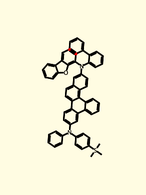 CS(C)(C)c1ccc(N(c2ccccc2)c2ccc3c(c2)c2ccccc2c2c4ccc(N(c5ccccc5-c5ccccc5)c5cccc6c5oc5ccccc56)cc4ccc32)cc1